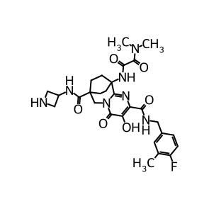 Cc1cc(CNC(=O)c2nc3n(c(=O)c2O)CC2(C(=O)NC4CNC4)CCC3(NC(=O)C(=O)N(C)C)CC2)ccc1F